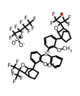 COc1c([S+](c2ccccc2)c2cccc(C34CCC(C3)C3C4OC3(C(F)(F)F)C(F)(F)F)c2OC)cccc1C12CCC(C1)C1C2OC1(C(F)(F)F)C(F)(F)F.O=S(=O)([O-])C(F)(F)C(F)(F)C(F)(F)C(F)(F)F